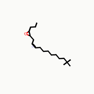 CCCC1OC1C/C=C\CCCCCCCC(C)(C)C